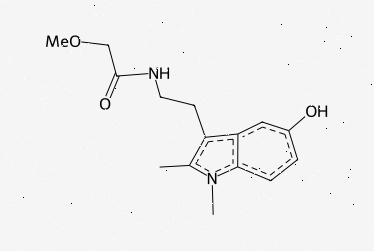 COCC(=O)NCCc1c(C)n(C)c2ccc(O)cc12